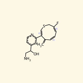 C=C1/C=C\C=C(\F)CS/C=C\1c1nccc(C(O)CN)n1